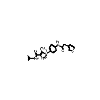 Cc1c(C(=O)NC2CC2)nnn1-c1ccc(NC(=O)Cc2ccsc2)cc1